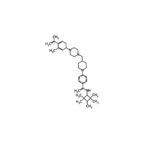 C=C(C)C1=CCC(N2CCN(CC3CCN(c4ccc(C(=C)NC5C(C)(C)C(C)C5(C)C)cc4)CC3)CC2)C=C1C